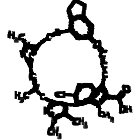 Cc1c2c(nn1C)CN(C)Cc1cc(n(C)n1)CSc1cc(cc3c1CCC3)OCCCc1c(C(=O)O)n(C)c3c-2c(Cl)ccc13